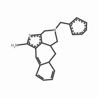 Nc1sc2c3c1C=C1C=CC=CC1CC3CN(Cc1ccccc1)C2